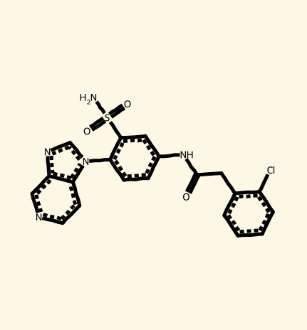 NS(=O)(=O)c1cc(NC(=O)Cc2ccccc2Cl)ccc1-n1cnc2cnccc21